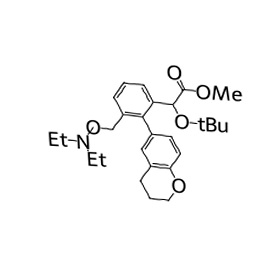 CCN(CC)OCc1cccc(C(OC(C)(C)C)C(=O)OC)c1-c1ccc2c(c1)CCCO2